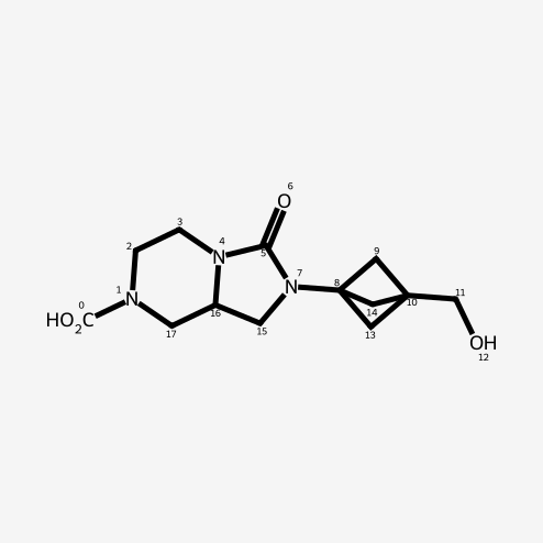 O=C(O)N1CCN2C(=O)N(C34CC(CO)(C3)C4)CC2C1